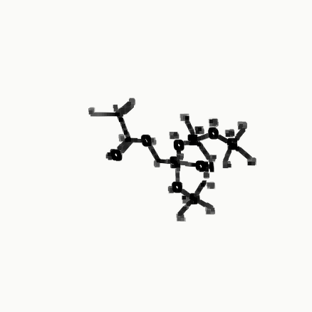 C=C(C)C(=O)OC[Si](O)(O[Si](C)(C)C)O[Si](C)(C)O[Si](C)(C)C